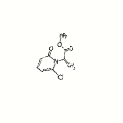 C=C(C(=O)OCCC)n1c(Cl)cccc1=O